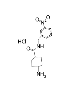 Cl.NC1CCC(C(=O)NCc2cccc([N+](=O)[O-])c2)CC1